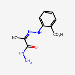 N#CC(=NNc1ccccc1C(=O)O)C(=O)NN